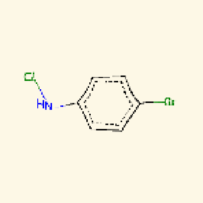 ClNc1ccc(Br)cc1